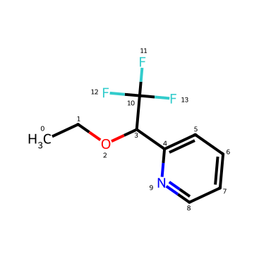 CCOC(c1ccccn1)C(F)(F)F